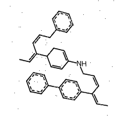 C/C=C(\C=C/Cc1ccccc1)C1C=CC(NC/C=C\C(=C/C)c2ccc(-c3ccccc3)cc2)=CC1